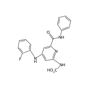 O=C(O)Nc1cc(Nc2ccccc2F)cc(C(=O)Nc2ccccc2)n1